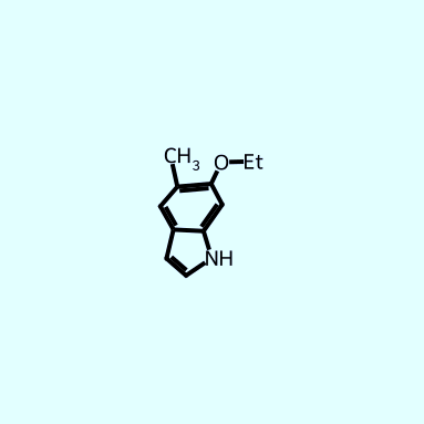 CCOc1cc2[nH]ccc2cc1C